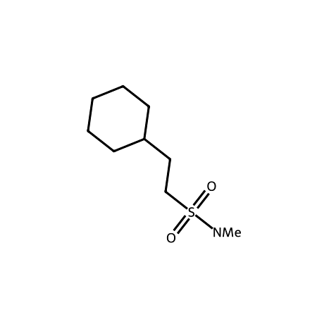 CNS(=O)(=O)CCC1CCCCC1